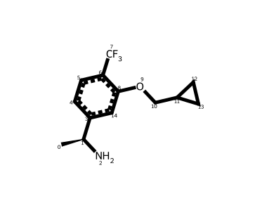 C[C@H](N)c1ccc(C(F)(F)F)c(OCC2CC2)c1